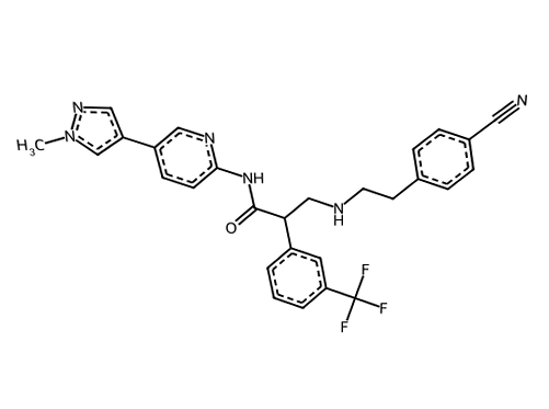 Cn1cc(-c2ccc(NC(=O)C(CNCCc3ccc(C#N)cc3)c3cccc(C(F)(F)F)c3)nc2)cn1